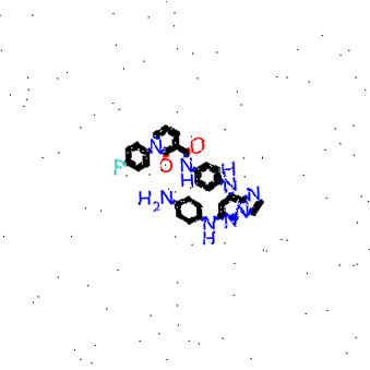 NC1CCC(Nc2cc(Nc3ccc(NC(=O)c4cccn(-c5ccc(F)cc5)c4=O)cc3)c3nccn3n2)CC1